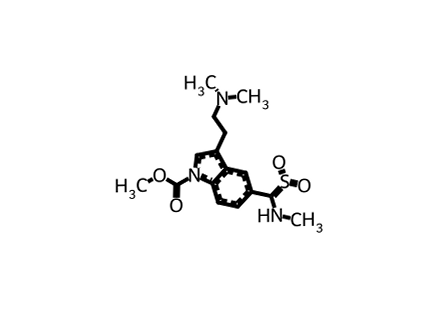 CNC(c1ccc2c(c1)c(CCN(C)C)cn2C(=O)OC)=S(=O)=O